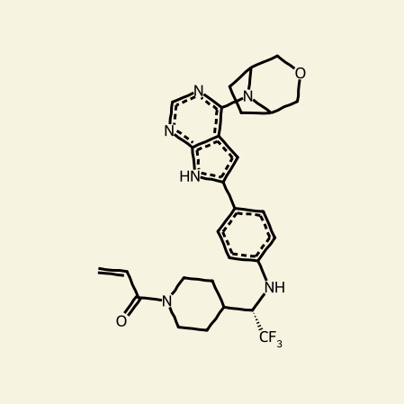 C=CC(=O)N1CCC([C@H](Nc2ccc(-c3cc4c(N5C6CCC5COC6)ncnc4[nH]3)cc2)C(F)(F)F)CC1